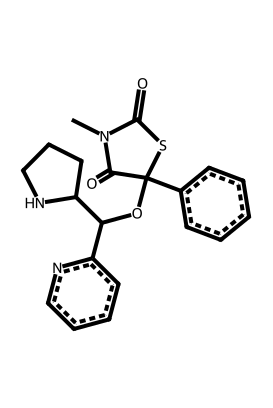 CN1C(=O)SC(OC(c2ccccn2)C2CCCN2)(c2ccccc2)C1=O